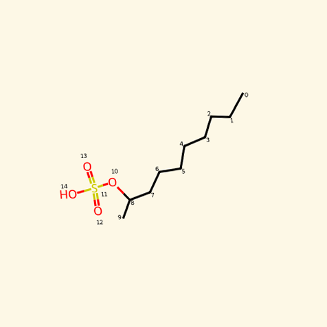 CCCCCCCCC(C)OS(=O)(=O)O